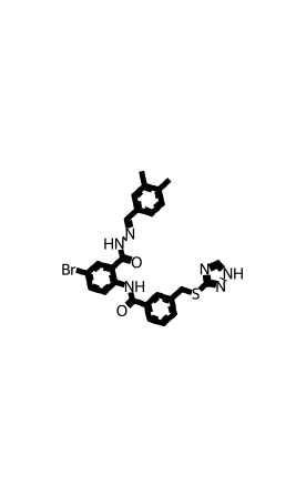 Cc1ccc(/C=N/NC(=O)c2cc(Br)ccc2NC(=O)c2cccc(CSc3nc[nH]n3)c2)cc1C